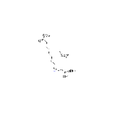 CCCCCCC(O)C/C=C\CCCCCCCC(=O)OC.CS(=O)(=O)O